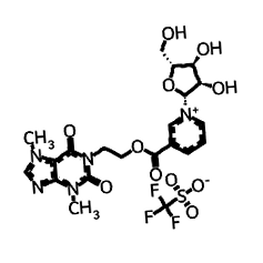 Cn1cnc2c1c(=O)n(CCOC(=O)c1ccc[n+]([C@@H]3O[C@H](CO)[C@@H](O)[C@H]3O)c1)c(=O)n2C.O=S(=O)([O-])C(F)(F)F